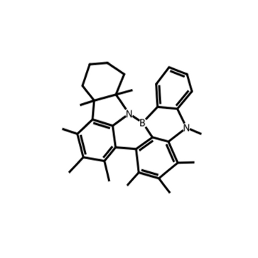 Cc1c(C)c2c3c(c1C)N(C)c1ccccc1B3N1c3c-2c(C)c(C)c(C)c3C2(C)CCCCC12C